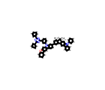 CC1(C)c2ccc(-c3ccc4c5cc6c(cc5n(-c5cccc(-c7nc(-c8ccccc8)nc(-c8ccccc8)n7)c5)c4c3)oc3ccccc36)cc2-c2cc3c4ccccc4n(-c4ccccc4)c3cc21